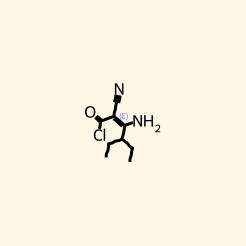 CCC(CC)/C(N)=C(/C#N)C(=O)Cl